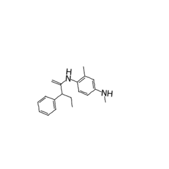 C=C(Nc1ccc(NC)cc1C)C(CC)c1ccccc1